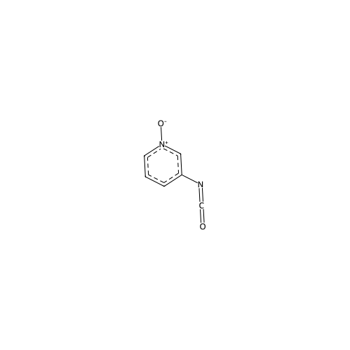 O=C=Nc1ccc[n+]([O-])c1